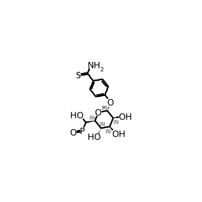 NC(=S)c1ccc(O[C@H]2O[C@H](C(O)P=O)[C@@H](O)[C@H](O)[C@@H]2O)cc1